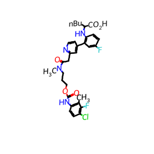 CCCCC(Nc1ccc(F)cc1-c1ccnc(CC(=O)N(C)CCCOC(=O)Nc2ccc(Cl)c(F)c2C)c1)C(=O)O